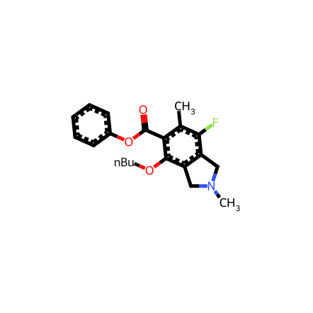 CCCCOc1c2c(c(F)c(C)c1C(=O)Oc1ccccc1)CN(C)C2